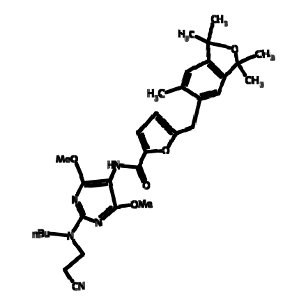 CCCCN(CCC#N)c1nc(OC)c(NC(=O)c2ccc(Cc3cc4c(cc3C)C(C)(C)OC4(C)C)o2)c(OC)n1